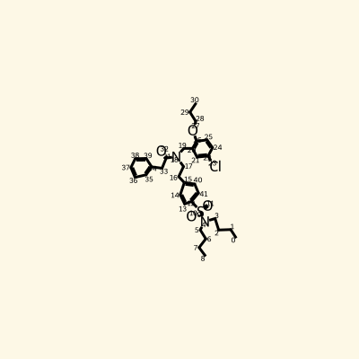 CCCCN(CCCC)S(=O)(=O)c1ccc(CCN(Cc2cc(Cl)ccc2OCCC)C(=O)Cc2ccccc2)cc1